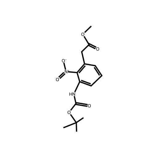 COC(=O)Cc1cccc(NC(=O)OC(C)(C)C)c1[N+](=O)[O-]